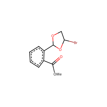 COC(=O)c1ccccc1C1OCC(Br)O1